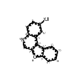 Clc1ccc2ncc3oc4ccccc4c3c2c1